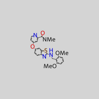 CNC(=O)c1cc(Oc2ccc3nc(NCc4c(OC)cccc4OC)sc3c2)ccn1